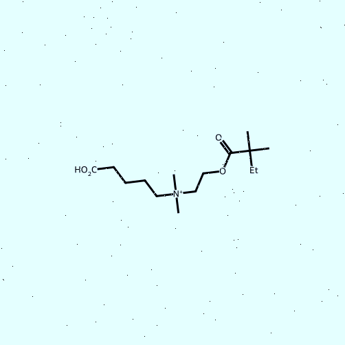 CCC(C)(C)C(=O)OCC[N+](C)(C)CCCCC(=O)O